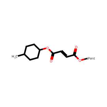 CCCC(C)OC(=O)/C=C/C(=O)OC1CCC(C)CC1